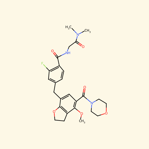 COc1c(C(=O)N2CCOCC2)cc(Cc2ccc(C(=O)NCC(=O)N(C)C)c(F)c2)c2c1CCO2